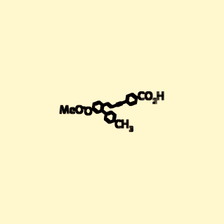 COCOc1ccc(/C=C/C#Cc2ccc(C(=O)O)cc2)c(-c2ccc(C)cc2)c1